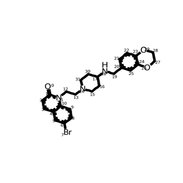 O=c1ccc2cc(Br)ccc2n1CCN1CCC(NCc2ccc3c(c2)OCCO3)CC1